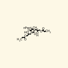 C=CC(=O)OCC(O)CN1C(=O)N(CC(O)COC(=O)C=C)C(C)(CCCCC)C1=O